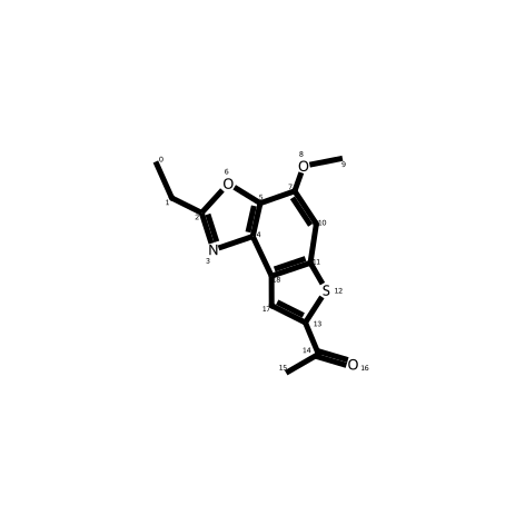 CCc1nc2c(o1)c(OC)cc1sc(C(C)=O)cc12